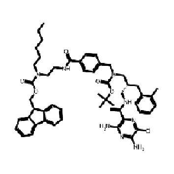 C=C(NC[C@@H](Cc1ccccc1C)CN(Cc1ccc(C(=O)NCCN(CCCCCC)C(=O)OCC2c3ccccc3-c3ccccc32)cc1)C(=O)OC(C)(C)C)c1nc(Cl)c(N)nc1N